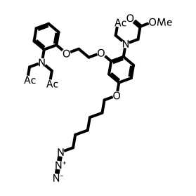 COC(=O)CN(CC(C)=O)c1ccc(OCCCCCCN=[N+]=[N-])cc1OCCOc1ccccc1N(CC(C)=O)CC(C)=O